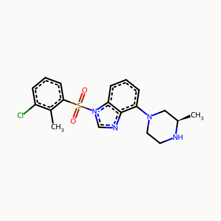 Cc1c(Cl)cccc1S(=O)(=O)n1cnc2c(N3CCN[C@H](C)C3)cccc21